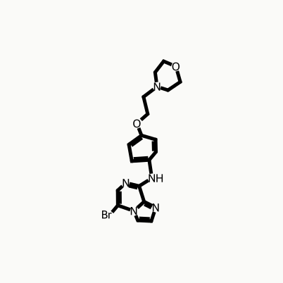 Brc1cnc(Nc2ccc(OCCN3CCOCC3)cc2)c2nccn12